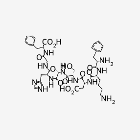 C[C@H](NC(=O)[C@H](CO)NC(=O)[C@H](CC(=O)O)NC(=O)[C@H](CCCCN)NC(=O)[C@@H](N)Cc1ccccc1)C(=O)N[C@@H](Cc1c[nH]cn1)C(=O)NCC(=O)N[C@@H](Cc1ccccc1)C(=O)O